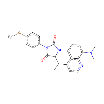 CC(c1ccnc2c(N(C)C)cccc12)C1NC(=O)N(c2ccc(SC(F)(F)F)cc2)C1=O